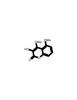 COc1cccc2oc(=O)c(O)c(OC)c12